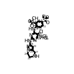 CP(C)(=O)c1cc(S(=O)(=O)F)ccc1Nc1nc(Nc2cc3n(n2)CCNC3)ncc1Cl.Cl.Cl